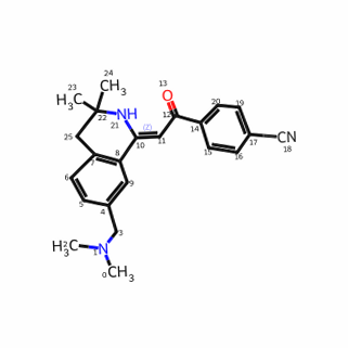 CN(C)Cc1ccc2c(c1)/C(=C/C(=O)c1ccc(C#N)cc1)NC(C)(C)C2